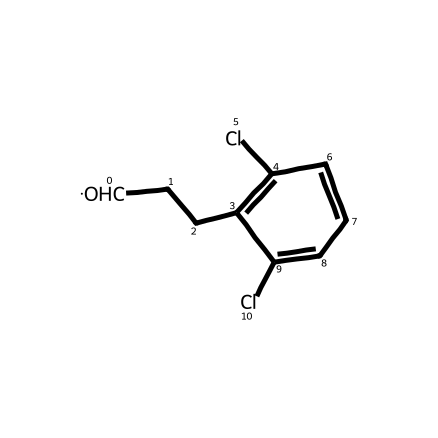 O=[C]CCc1c(Cl)cccc1Cl